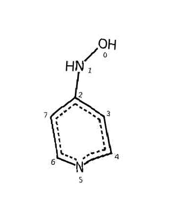 ONc1ccncc1